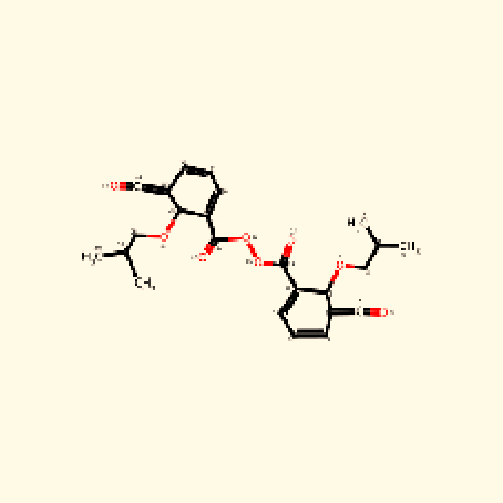 CC(C)COC1C(=C=O)C=CC=C1C(=O)OOC(=O)C1=CC=CC(=C=O)C1OCC(C)C